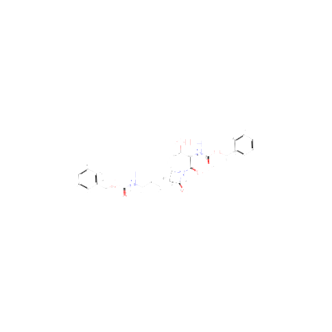 CC(O)C(NC(=O)OCc1ccccc1)C(=O)N1C[C@@H](CCCNC(=O)OCc2ccccc2)C1=O